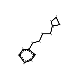 [CH](CCCC1CCC1)c1ccccc1